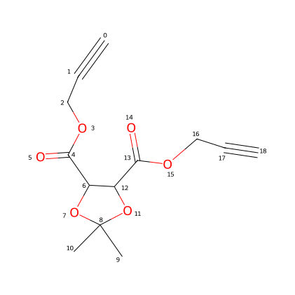 C#CCOC(=O)C1OC(C)(C)OC1C(=O)OCC#C